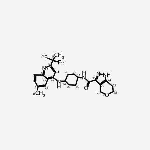 Cc1ccc2nc(C(C)(F)F)cc(NC3CCC(NC(=O)c4n[nH]c5c4COCC5)CC3)c2c1